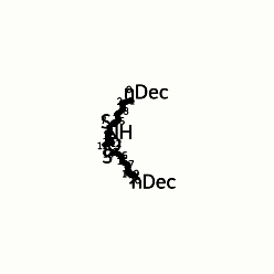 CCCCCCCCCCCCCCCC(=S)NCC(C)OC(=S)CCCCCCCCCCCCCCC